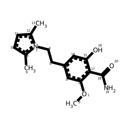 COc1cc(CCn2c(C)ccc2C)cc(O)c1C(N)=O